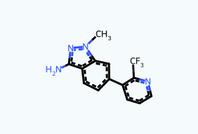 Cn1nc(N)c2ccc(-c3cccnc3C(F)(F)F)cc21